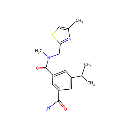 Cc1csc(CN(C)C(=O)c2cc(C(N)=O)cc(C(C)C)c2)n1